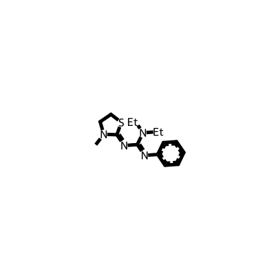 CCN(CC)C(N=C1SCCN1C)=Nc1ccccc1